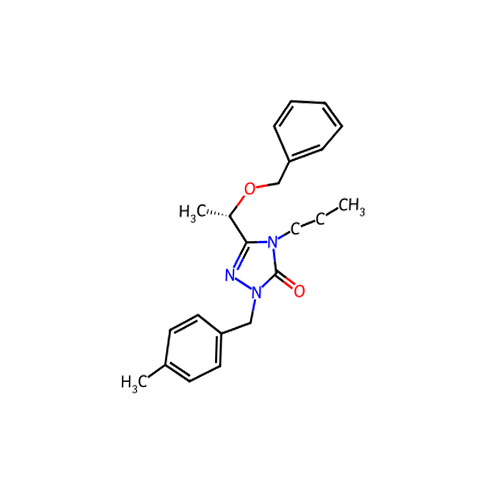 CCCn1c([C@H](C)OCc2ccccc2)nn(Cc2ccc(C)cc2)c1=O